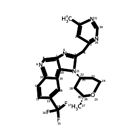 Cc1cc(Cc2nc3cnc4ccc(C(F)(F)F)cc4c3n2[C@@H]2CCO[C@H](C)C2)ncn1